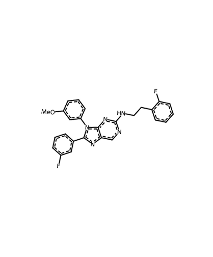 COc1cccc(-n2c(-c3cccc(F)c3)nc3cnc(NCCc4ccccc4F)nc32)c1